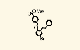 COC(=O)c1ccc(COc2ccc(Br)cc2CCc2ccccc2)cc1